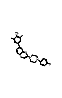 Cc1cc(-c2ccc3ncc(N4CCN(c5ccc(F)cc5)CC4)nc3c2)cc(C)c1O